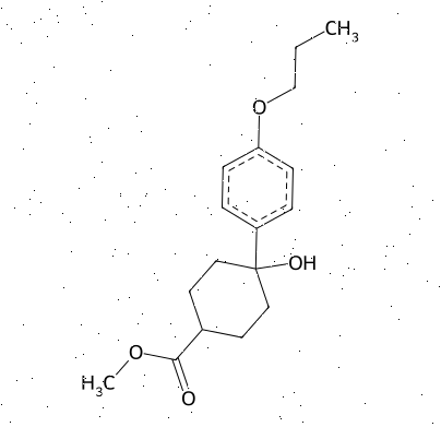 CCCOc1ccc(C2(O)CCC(C(=O)OC)CC2)cc1